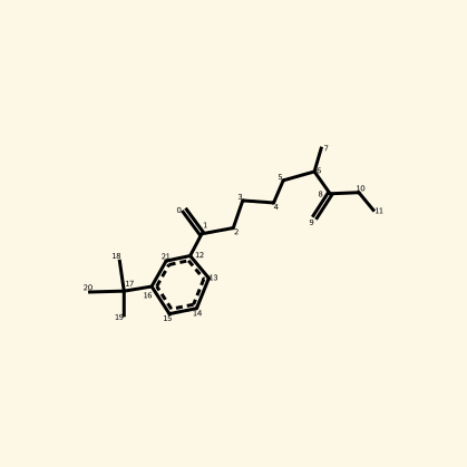 C=C(CCCCC(C)C(=C)CC)c1cccc(C(C)(C)C)c1